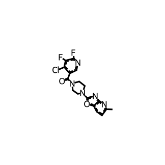 Cc1ccc2oc(N3CCN(C(=O)c4cnc(F)c(F)c4Cl)CC3)nc2n1